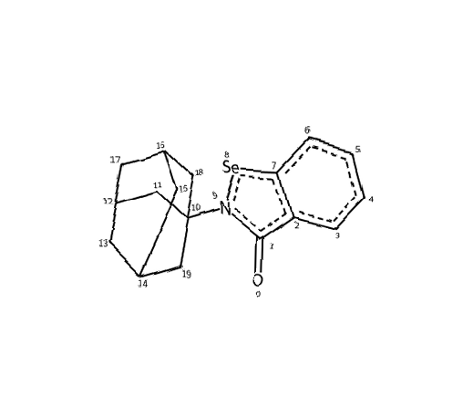 O=c1c2ccccc2[se]n1C12CC3CC(CC(C3)C1)C2